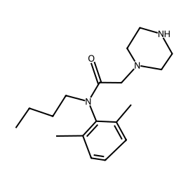 CCCCN(C(=O)CN1CCNCC1)c1c(C)cccc1C